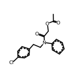 CC(=O)OCC(=O)N(CCc1ccc(Cl)cc1)c1ccccc1